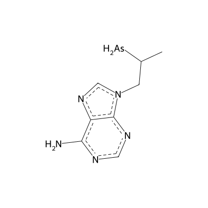 CC([AsH2])Cn1cnc2c(N)ncnc21